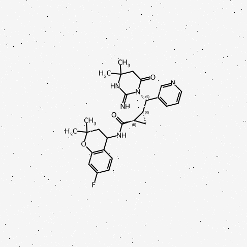 CC1(C)CC(=O)N([C@H](c2cccnc2)[C@@H]2C[C@H]2C(=O)NC2CC(C)(C)Oc3cc(F)ccc32)C(=N)N1